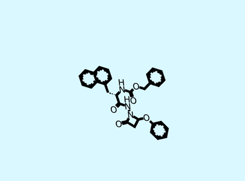 O=C(N[C@@H](Cc1cccc2ccccc12)C(=O)NN1C(=O)CC1Oc1ccccc1)OCc1ccccc1